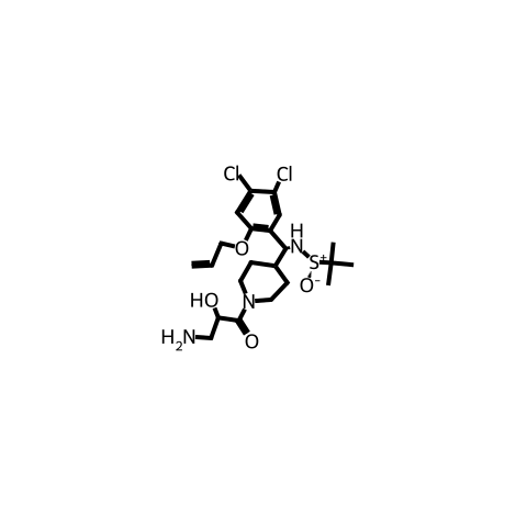 C=CCOc1cc(Cl)c(Cl)cc1[C@H](N[S@@+]([O-])C(C)(C)C)C1CCN(C(=O)C(O)CN)CC1